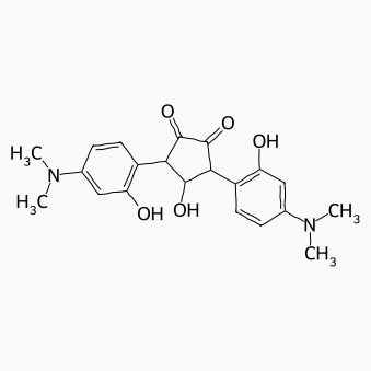 CN(C)c1ccc(C2C(=O)C(=O)C(c3ccc(N(C)C)cc3O)C2O)c(O)c1